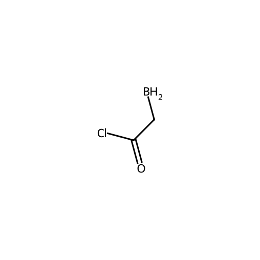 BCC(=O)Cl